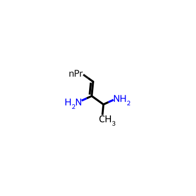 CCCC=C(N)C(C)N